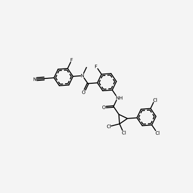 CN(C(=O)c1cc(NC(=O)C2C(c3cc(Cl)cc(Cl)c3)C2(Cl)Cl)ccc1F)c1ccc(C#N)cc1F